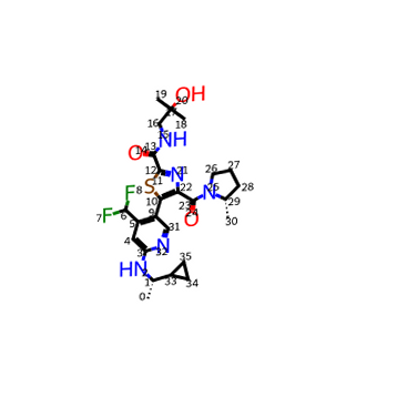 C[C@H](Nc1cc(C(F)F)c(-c2sc(C(=O)NCC(C)(C)O)nc2C(=O)N2CCC[C@@H]2C)cn1)C1CC1